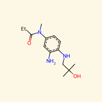 CCC(=O)N(C)c1ccc(NCC(C)(C)O)c(N)c1